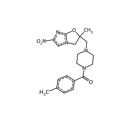 Cc1ccc(C(=O)N2CCN(CC3(C)Cn4cc([N+](=O)[O-])nc4O3)CC2)cc1